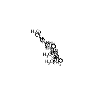 COC(=O)CCN1CCN(c2cc(N)nc(N[C@H]3CC[C@H](CN(CCCN(C(=O)OC(C)(C)C)C4CCCCC4)C(=O)OC(C)(C)C)CC3)n2)CC1